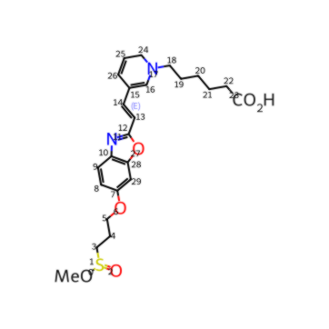 COS(=O)CCCOc1ccc2nc(/C=C/C3=CN(CCCCCC(=O)O)CC=C3)oc2c1